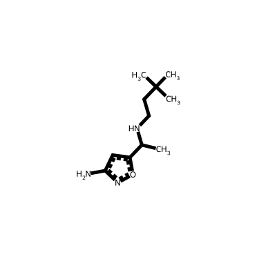 CC(NCCC(C)(C)C)c1cc(N)no1